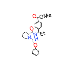 CC[C@H](NC(=O)[C@H]1CCCCN1CCOc1ccccc1)c1ccc(C(=O)OC)cc1